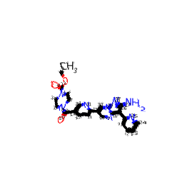 CCOC(=O)N1CCN(C(=O)c2ccc(-c3cnc4c(-c5ccccn5)c(N)nn4c3)nc2)CC1